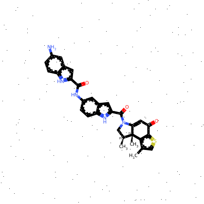 Cc1csc2c1[C@@]1(C)C(=CC2=O)N(C(=O)c2cc3cc(NC(=O)c4cc5cc(N)ccc5[nH]4)ccc3[nH]2)C[C@@H]1C